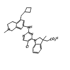 CN1CCc2c(CC3CCC3)cc(Nc3ncc(Cl)c(N4CC(C)(CC(=O)O)c5ccccc54)n3)cc2C1